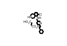 Clc1ccc2c(c1NCc1ccc(C=CC3CCCCC3)nc1)CCNCC2.O=C(O)CCC(=O)O